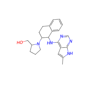 Cc1cc2c(NC3c4ccccc4CCC3N3CCCC3CO)ncnc2[nH]1